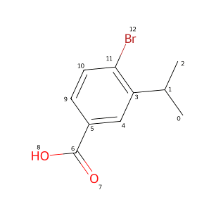 CC(C)c1cc(C(=O)O)ccc1Br